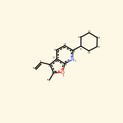 C=Cc1c(C)oc2nc(C3CCCCC3)ccc12